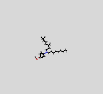 CCCCCCCCCN(CCC(C)CCC=C(C)C)c1ccc(OC)cc1